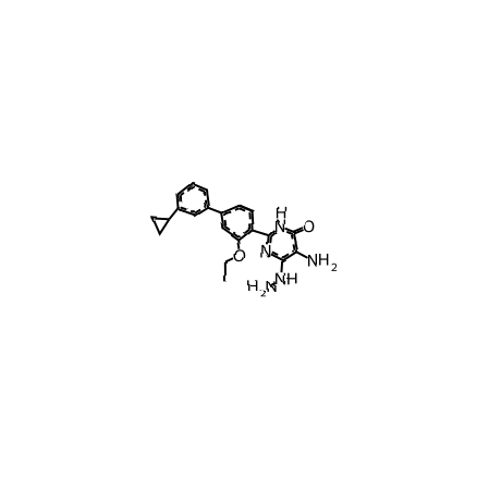 CCOc1cc(-c2cccc(C3CC3)c2)ccc1-c1nc(NN)c(N)c(=O)[nH]1